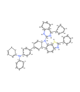 C1=CCCC(N(c2ccccc2)c2ccc(C3=CC4c5ccc6nc(-c7ccccc7)sc6c5N(c5nc(-c6ccccc6)c6ccccc6n5)C4C=C3)cc2)=C1